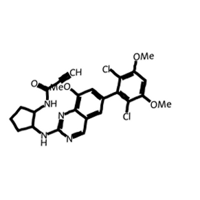 C#CC(=O)NC1CCCC1Nc1ncc2cc(-c3c(Cl)c(OC)cc(OC)c3Cl)cc(OC)c2n1